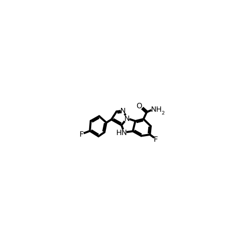 NC(=O)c1cc(F)cc2[nH]c3c(-c4ccc(F)cc4)cnn3c12